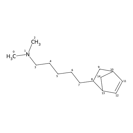 CN(C)CCCCCC1CC2C=CC1C2